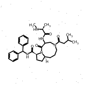 CN[C@@H](C)C(=O)NC1CN(C(=O)CC(C)C)CCC[C@H]2CC[C@@H](C(=O)NC(c3ccccc3)c3ccccc3)N2C1=O